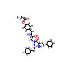 CC(NC(=O)C(CCc1ccccc1)NCCc1ccccc1)C(=O)NCc1ccc(OC(N)=O)cc1